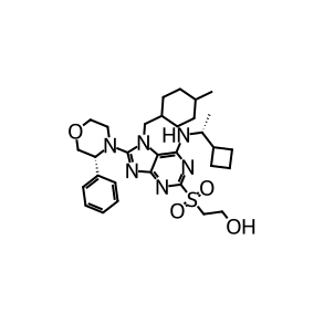 CC1CCC(Cn2c(N3CCOC[C@H]3c3ccccc3)nc3nc(S(=O)(=O)CCO)nc(N[C@H](C)C4CCC4)c32)CC1